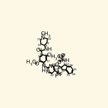 COc1cc(C(=O)NC2CCN(C)CC2)c(Cl)cc1Nc1ncc(C(F)(F)F)c(O[C@@H]2Cc3ccccc3[C@H]2NS(C)(=O)=O)n1